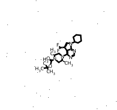 C[C@@H]1CN(c2ncnc3c2c(C(F)F)cn3C2CCCCC2)[C@@H](C)CN1C(=O)OC(C)(C)C